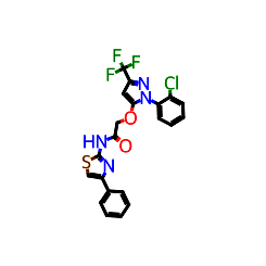 O=C(COc1cc(C(F)(F)F)nn1-c1ccccc1Cl)Nc1nc(-c2ccccc2)cs1